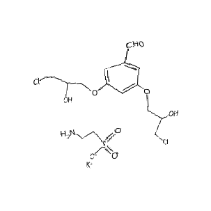 NCCS(=O)(=O)[O-].O=Cc1cc(OCC(O)CCl)cc(OCC(O)CCl)c1.[K+]